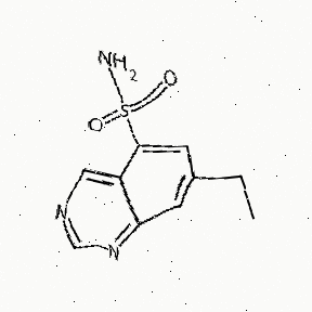 CCc1cc(S(N)(=O)=O)c2cncnc2c1